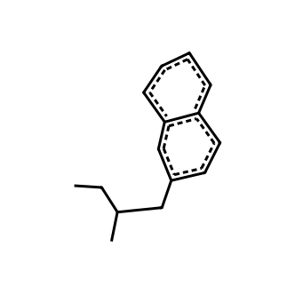 CCC(C)Cc1ccc2ccccc2c1